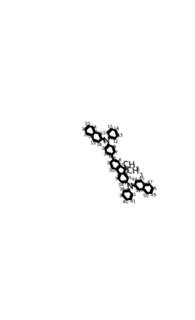 CC1(C)c2cc(-c3ccc(N(c4ccccc4)c4ccc5ccccc5c4)cc3)ccc2-c2ccc(N(c3ccccc3)c3ccc4ccccc4c3)cc21